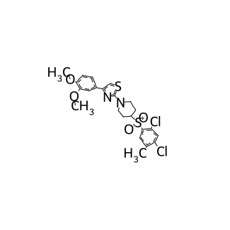 COc1ccc(-c2csc(N3CCC(S(=O)(=O)c4cc(C)c(Cl)cc4Cl)CC3)n2)cc1OC